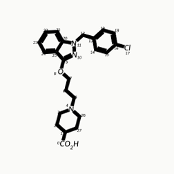 O=C(O)C1CCN(CCCOc2nn(Cc3ccc(Cl)cc3)c3ccccc23)CC1